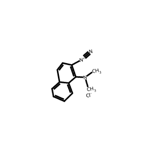 CN(C)c1c([N+]#N)ccc2ccccc12.[Cl-]